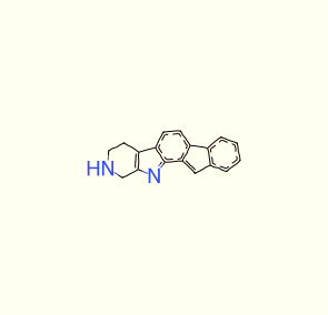 C1=c2c(ccc3c2=NC2=C3CCNC2)-c2ccccc21